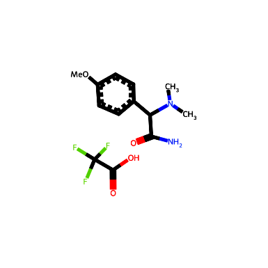 COc1ccc(C(C(N)=O)N(C)C)cc1.O=C(O)C(F)(F)F